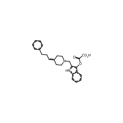 O=C(O)C(=O)Oc1c(CN2CCC(=CCCc3ccccc3)CC2)[nH]c2ccccc12